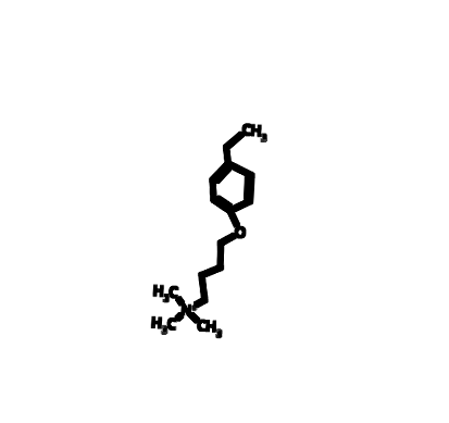 CCc1ccc(OCCCC[N+](C)(C)C)cc1